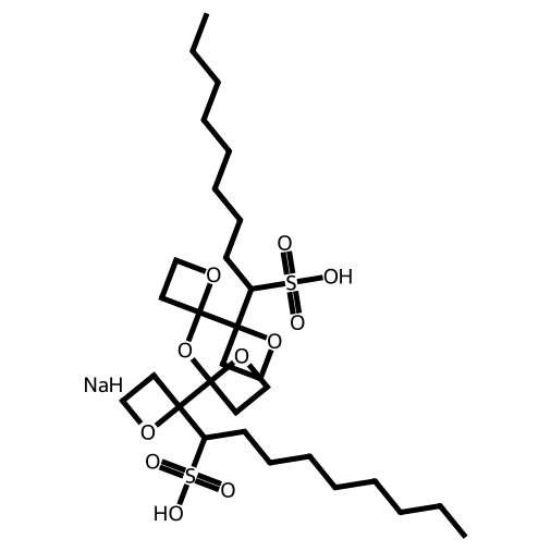 CCCCCCCCC(C1(C2(OC3(C4(C(CCCCCCCC)S(=O)(=O)O)CCO4)CCO3)CCO2)CCO1)S(=O)(=O)O.[NaH]